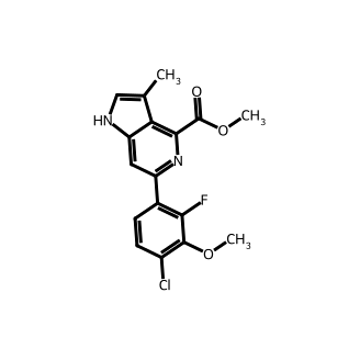 COC(=O)c1nc(-c2ccc(Cl)c(OC)c2F)cc2[nH]cc(C)c12